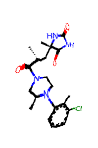 Cc1c(Cl)cccc1N1CCN(C(=O)[C@H](C)C[C@]2(C)NC(=O)NC2=O)C[C@@H]1C